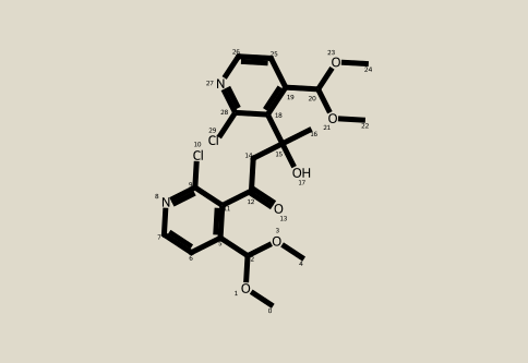 COC(OC)c1ccnc(Cl)c1C(=O)CC(C)(O)c1c(C(OC)OC)ccnc1Cl